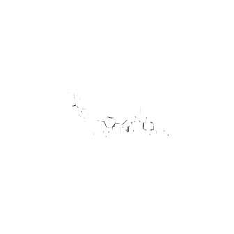 COc1cc(CO[C@@H]2CCN(C(=O)OC(C)(C)C)C2)ccc1-c1cc(Nc2cnc(C#N)cn2)n[nH]1